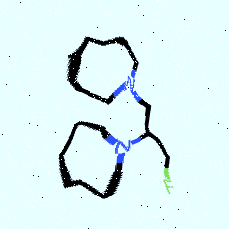 FCC(CN1CCCCCC1)N1CCCCCC1